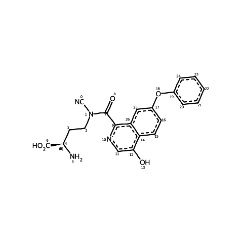 N#CN(CC[C@@H](N)C(=O)O)C(=O)c1ncc(O)c2ccc(Oc3ccccc3)cc12